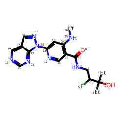 CCC(O)(CC)C(F)CNC(=O)c1cnc(-n2ncc3cncnc32)cc1NC(C)C